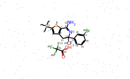 C[Si](C)(C)c1cc2c(s1)C(N)=NC(c1cccc(Br)c1)(C(F)(F)F)C2.O=C(O)C(F)(F)F